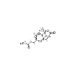 CCCC(=O)CCC(=O)OC1CC2CC(C)(OC2=O)C1C